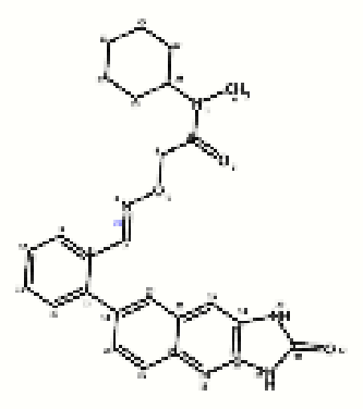 CN(C(=O)CO/N=C/c1ccccc1-c1ccc2nc3[nH]c(=O)[nH]c3cc2c1)C1CCCCC1